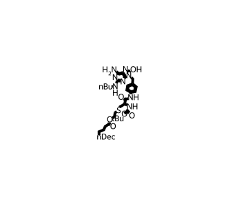 CCCCCCCCCCCCCC(=O)OCCSCC(NC(=O)OC(C)(C)C)C(=O)Nc1ccc(Cn2c(O)nc3c(N)nc(NCCCC)nc32)cc1